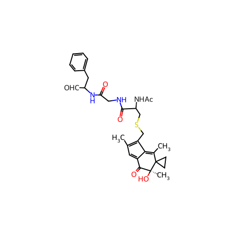 CC(=O)NC(CSCC1=C(C)C=C2C(=O)[C@](C)(O)C3(CC3)C(C)=C21)C(=O)NCC(=O)NC(C=O)Cc1ccccc1